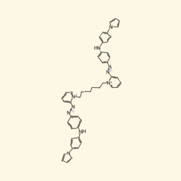 c1cc[n+](CCCCCC[n+]2ccccc2/N=N/c2ccc(Nc3ccc(-n4cccc4)cc3)cc2)c(/N=N/c2ccc(Nc3ccc(-n4cccc4)cc3)cc2)c1